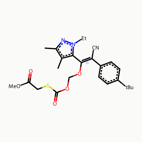 CCn1nc(C)c(C)c1/C(OCOC(=O)SCC(=O)OC)=C(\C#N)c1ccc(C(C)(C)C)cc1